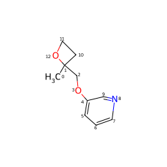 CC1(COc2cccnc2)CCO1